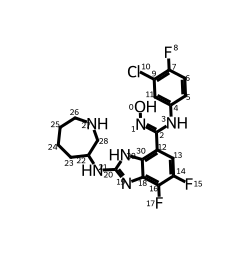 ON=C(Nc1ccc(F)c(Cl)c1)c1cc(F)c(F)c2nc(NC3CCCCNC3)[nH]c12